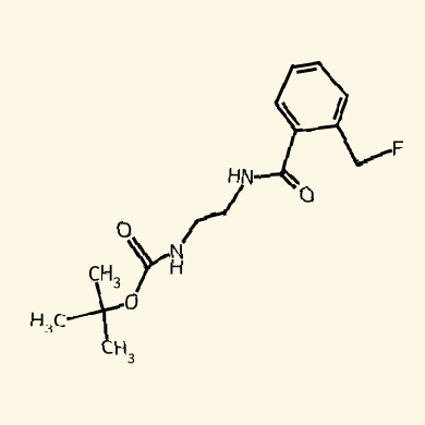 CC(C)(C)OC(=O)NCCNC(=O)c1ccccc1CF